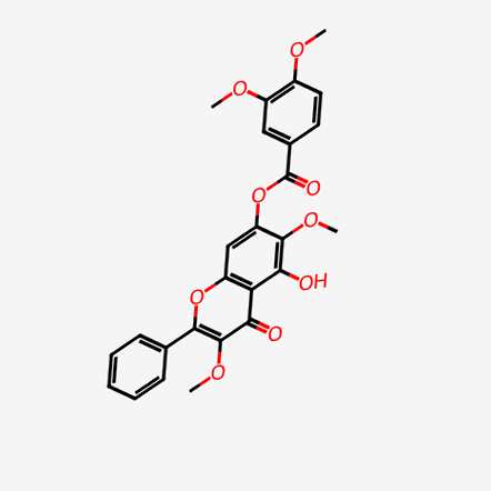 COc1ccc(C(=O)Oc2cc3oc(-c4ccccc4)c(OC)c(=O)c3c(O)c2OC)cc1OC